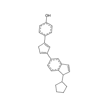 Oc1ccc(C2=CC(c3ccc4c(c3)C=CC4C3CCCC3)=CC2)cc1